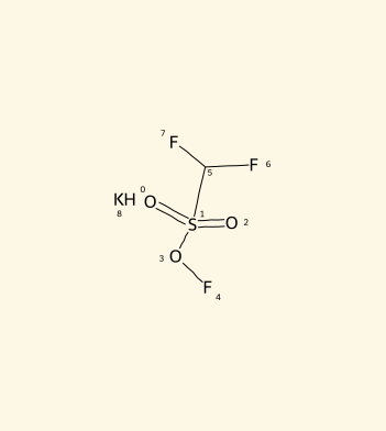 O=S(=O)(OF)C(F)F.[KH]